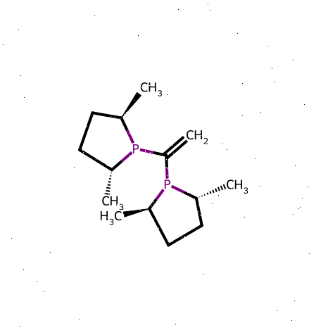 C=C(P1[C@H](C)CC[C@H]1C)P1[C@H](C)CC[C@H]1C